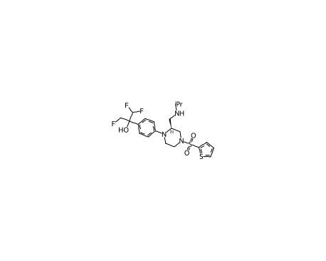 CC(C)NC[C@H]1CN(S(=O)(=O)c2cccs2)CCN1c1ccc(C(O)(CF)C(F)F)cc1